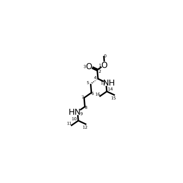 COC(=O)[C@@H](CCCCNC(C)C)NC(C)C